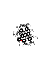 C[SiH2]c1cc([SiH2]C)cc(N(c2cc(C)cc([SiH](C)C)c2)c2c3ccccc3c(N(c3cc(C)cc([SiH](C)C)c3)c3cc(C)cc([Si](C)(C)C)c3)c3ccc(-c4ccccc4)cc23)c1